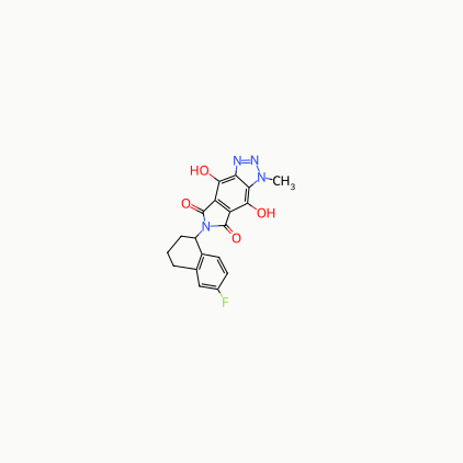 Cn1nnc2c(O)c3c(c(O)c21)C(=O)N(C1CCCc2cc(F)ccc21)C3=O